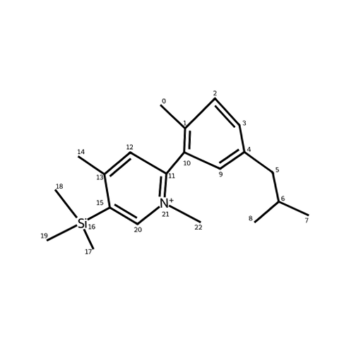 Cc1ccc(CC(C)C)cc1-c1cc(C)c([Si](C)(C)C)c[n+]1C